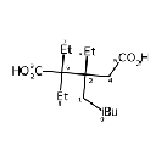 CCC(C)CC(CC)(CC(=O)O)C(CC)(CC)C(=O)O